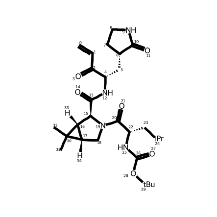 C=CC(=O)[C@H](C[C@@H]1CCNC1=O)NC(=O)[C@@H]1[C@@H]2[C@H](CN1C(=O)[C@H](CC(C)C)NC(=O)OC(C)(C)C)C2(C)C